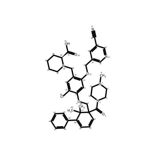 CN1CCN(C(=O)C2(COc3cc(OCc4cncc(C#N)c4)c(CN4CCCC[C@H]4C(=O)O)cc3Cl)C=CC=C(c3ccccc3)C2(C)C)CC1